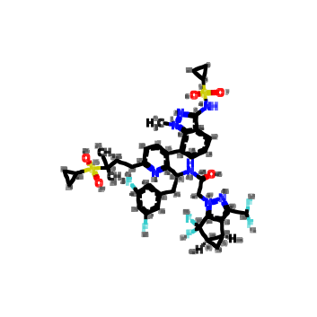 Cn1nc(NS(=O)(=O)C2CC2)c2cccc(-c3ccc(CCC(C)(C)S(=O)(=O)C4CC4)nc3[C@H](Cc3cc(F)cc(F)c3)NC(=O)Cn3nc(C(F)F)c4c3C(F)(F)[C@@H]3C[C@H]43)c21